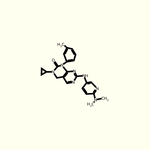 Cc1cccc(N2C(=O)N(C3CC3)Cc3cnc(Nc4ccc(N(C)C)nc4)nc32)c1